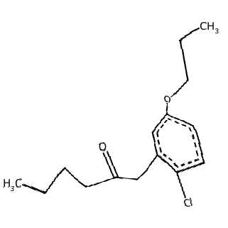 CCCCC(=O)Cc1cc(OCCC)ccc1Cl